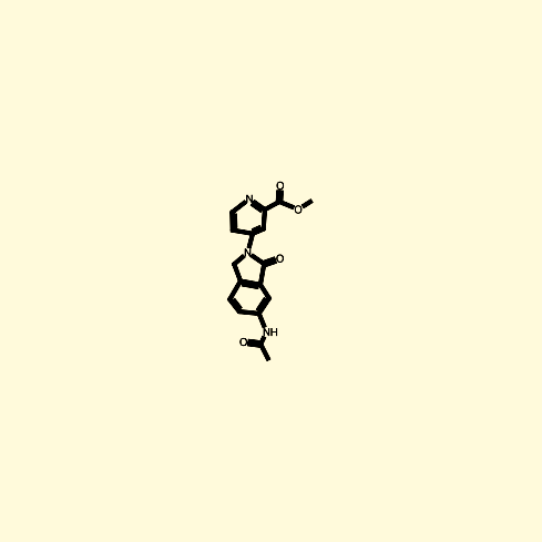 COC(=O)c1cc(N2Cc3ccc(NC(C)=O)cc3C2=O)ccn1